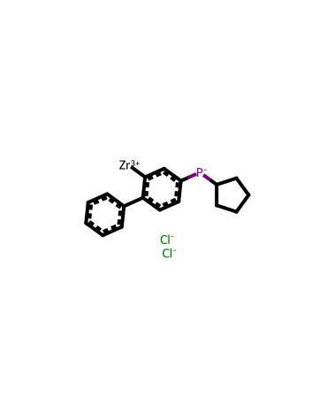 [Cl-].[Cl-].[Zr+3][c]1cc([P-]C2CCCC2)ccc1-c1ccccc1